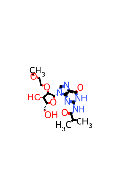 COCCOC1[C@@H](O)[C@@H](CO)O[C@H]1n1cnc2c(=O)[nH]c(NC(=O)C(C)C)nc21